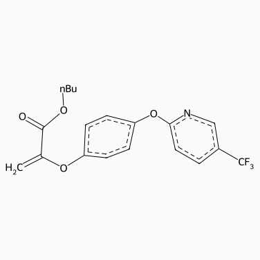 C=C(Oc1ccc(Oc2ccc(C(F)(F)F)cn2)cc1)C(=O)OCCCC